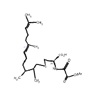 COC(=O)C(=O)N[C@@H](CSCC(C)C(C)CC/C=C(\C)CCC=C(C)C)C(=O)O